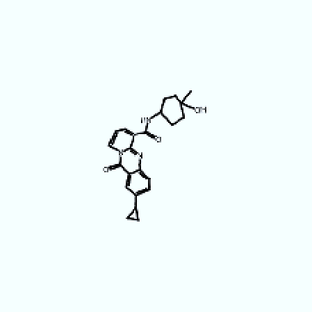 CC1(O)CCC(NC(=O)c2cccn3c(=O)c4cc(C5CC5)ccc4nc23)CC1